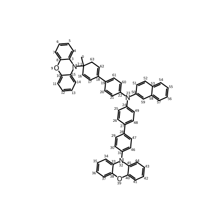 CC1(N2c3ccccc3Oc3ccccc32)C=CC(c2ccc(N(c3ccc(-c4ccc(N5c6ccccc6Oc6ccccc65)cc4)cc3)c3ccc4ccccc4c3)cc2)=CC1